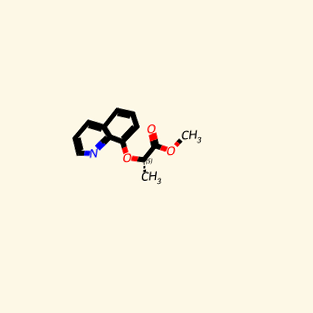 COC(=O)[C@H](C)Oc1cccc2cccnc12